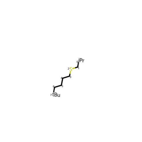 CC(C)CSCCCCC(C)(C)C